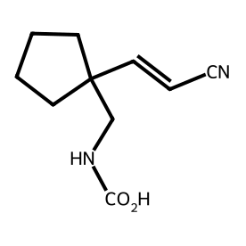 N#CC=CC1(CNC(=O)O)CCCC1